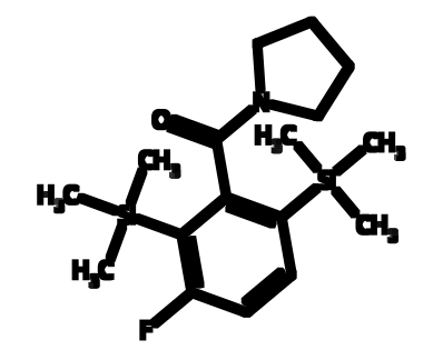 C[Si](C)(C)c1ccc(F)c([Si](C)(C)C)c1C(=O)N1CCCC1